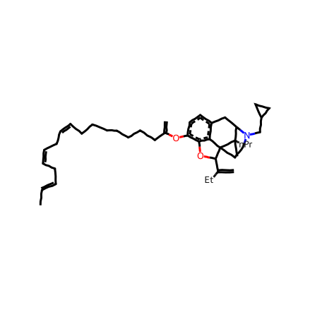 C=C(CCCCCCC/C=C\C/C=C\C/C=C/C)Oc1ccc2c3c1OC(C(=C)CC)C31CCN(CC3CC3)C(C2)C1(C)CCC